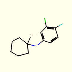 CC(=O)NC1(Nc2ccc(F)c(Cl)c2)C[CH]CCC1